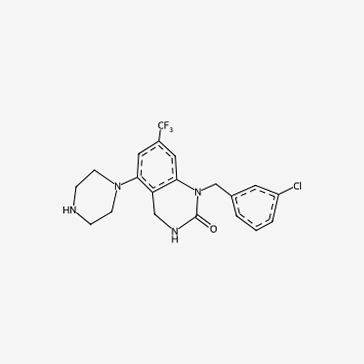 O=C1NCc2c(N3CCNCC3)cc(C(F)(F)F)cc2N1Cc1cccc(Cl)c1